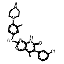 Cc1cc(Nc2ncc3c(C)c(-c4cccc(Cl)c4)c(=O)[nH]c3n2)ccc1N1CCN(C)CC1